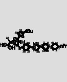 CCC[C@H]1CC[C@H](c2ccc(-c3cnc(-c4ccc(C[C@@H](CN[C@H](C)C(O)O)NC(=O)c5ccc(C(C)(C)C)s5)cc4)nc3)cc2)CC1